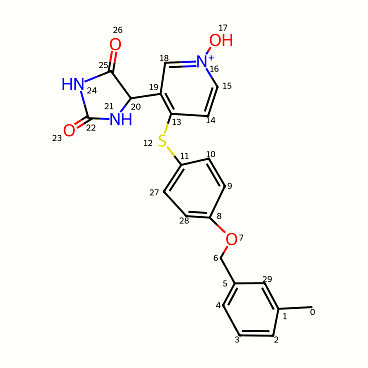 Cc1cccc(COc2ccc(Sc3cc[n+](O)cc3C3NC(=O)NC3=O)cc2)c1